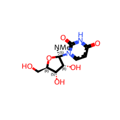 CN[C@@]1(n2ccc(=O)[nH]c2=O)O[C@H](CO)[C@@H](O)[C@H]1O